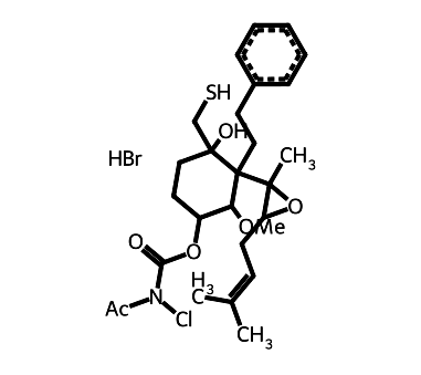 Br.COC1C(OC(=O)N(Cl)C(C)=O)CCC(O)(CS)C1(CCc1ccccc1)C1(C)OC1CC=C(C)C